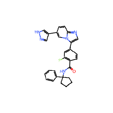 O=C(NC1(c2ccccc2)CCCC1)c1ccc(-c2cnc3ccc(-c4cn[nH]c4)cn23)cc1F